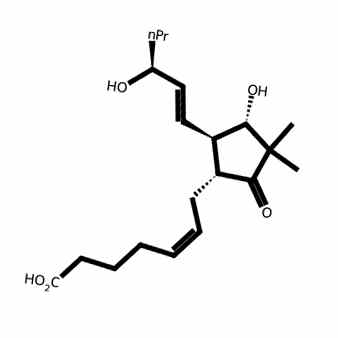 CCC[C@H](O)/C=C/[C@@H]1[C@@H](C/C=C\CCCC(=O)O)C(=O)C(C)(C)[C@H]1O